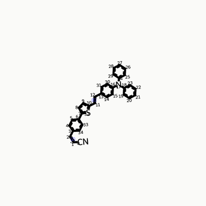 N#C/[C]=C\c1ccc(-c2ccc(/C=C/c3ccc(N(c4ccccc4)c4ccccc4)cc3)s2)cc1